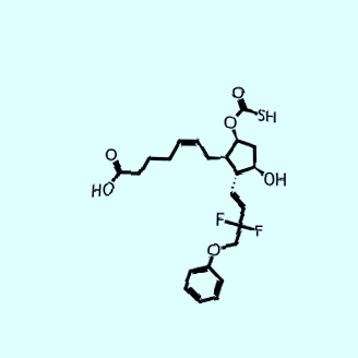 O=C(O)CCC/C=C\C[C@@H]1[C@@H](/C=C/C(F)(F)COc2ccccc2)[C@H](O)C[C@@H]1OC(=O)S